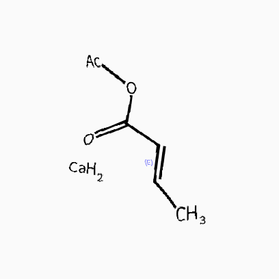 C/C=C/C(=O)OC(C)=O.[CaH2]